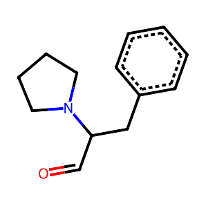 O=CC(Cc1ccccc1)N1CCCC1